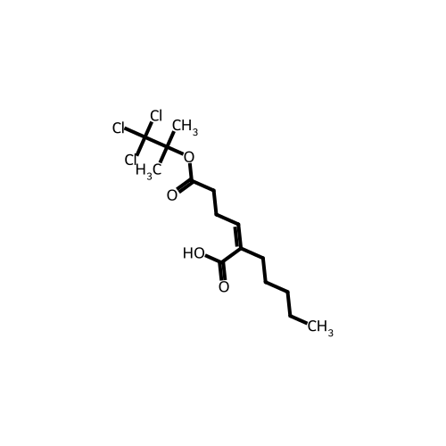 CCCCCC(=CCCC(=O)OC(C)(C)C(Cl)(Cl)Cl)C(=O)O